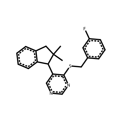 CC1(C)Cc2ccccc2C1c1cncnc1SCc1cccc(F)c1